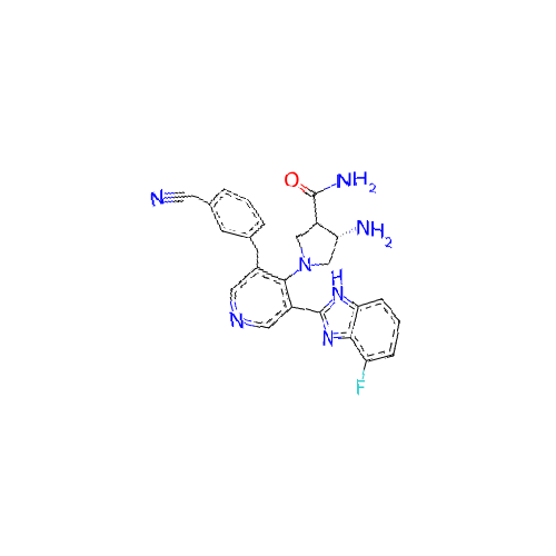 N#Cc1cccc(-c2cncc(-c3nc4c(F)cccc4[nH]3)c2N2CC(C(N)=O)[C@H](N)C2)c1